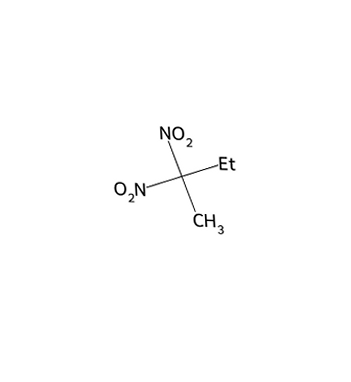 CCC(C)([N+](=O)[O-])[N+](=O)[O-]